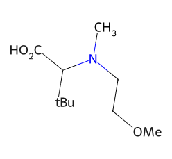 COCCN(C)C(C(=O)O)C(C)(C)C